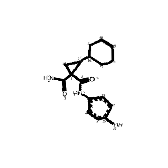 NC(=O)C1(C(=O)Nc2ccc(O)cc2)CC1C1CCCCC1